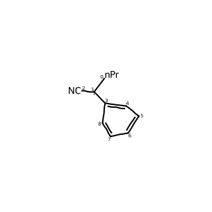 CCC[C](C#N)c1ccccc1